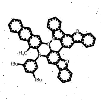 Cc1c2c(cc3cc4ccccc4cc13)B1c3c(cc4c(oc5ccccc54)c3-c3cc4c5ccccc5oc4c4c5ccccc5n1c34)N2c1cc(C(C)(C)C)cc(C(C)(C)C)c1